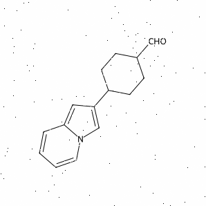 O=CC1CCC(c2cc3ccccn3c2)CC1